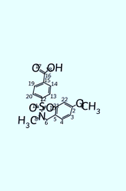 COc1ccc(CN(C)S(=O)(=O)c2ccc(C(=O)O)cc2)cc1